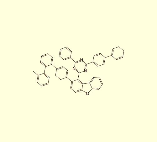 Cc1ccccc1-c1ccccc1C1=CC=C(c2ccc3oc4ccccc4c3c2-c2nc(-c3ccccc3)nc(-c3ccc(C4=CCCC=C4)cc3)n2)CC1